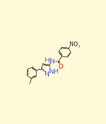 Cc1cccc(-c2cc(NC(=O)c3ccc([N+](=O)[O-])cc3)[nH]n2)c1